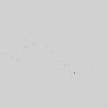 C[C@H](NC(=O)CCN1C(=O)C=CC1=O)C(=O)N[C@@H](C)C(=O)Nc1ccc(Sc2ccc([C@@H]3O[C@@H]4C[C@H]5[C@@H]6C[C@H](F)C7=CC(=O)C=C[C@]7(C)[C@@]6(F)[C@@H](O)C[C@]5(C)[C@]4(C(=O)CO)O3)cc2)cc1